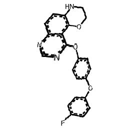 Fc1ccc(Oc2ccc(Oc3ncnc4ccc5c(c34)OCCN5)cc2)cc1